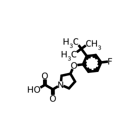 CC(C)(C)c1cc(F)ccc1OC1CCN(C(=O)C(=O)O)C1